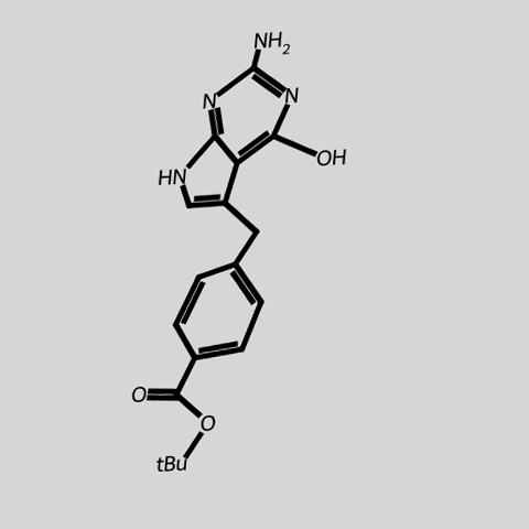 CC(C)(C)OC(=O)c1ccc(Cc2c[nH]c3nc(N)nc(O)c23)cc1